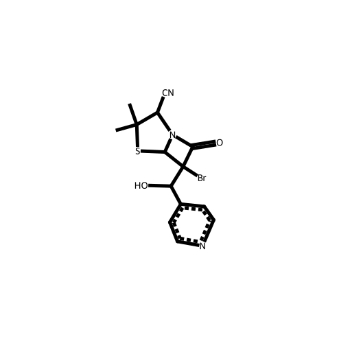 CC1(C)SC2N(C(=O)C2(Br)C(O)c2ccncc2)C1C#N